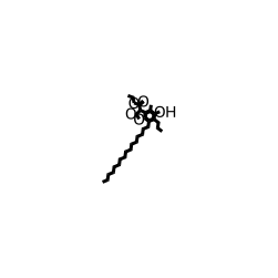 CCCCCCCCCCCCCCCCc1c(CCC)c(O)c(C)c2c1OC(=O)C2C(=O)OCC